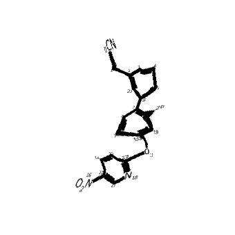 N#CCc1cccc(-c2ccc(Oc3ccc([N+](=O)[O-])cn3)cc2)c1